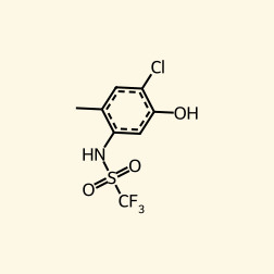 Cc1cc(Cl)c(O)cc1NS(=O)(=O)C(F)(F)F